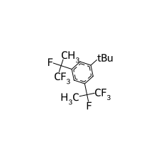 CC(C)(C)c1cc(C(C)(F)C(F)(F)F)cc(C(C)(F)C(F)(F)F)c1